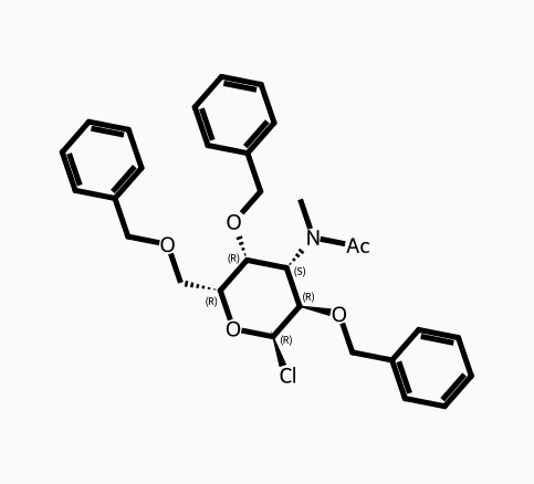 CC(=O)N(C)[C@@H]1[C@@H](OCc2ccccc2)[C@@H](Cl)O[C@H](COCc2ccccc2)[C@@H]1OCc1ccccc1